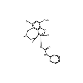 COc1cc(Br)c2c3c1O[C@H]1C[C@@H](OC(=O)Nc4ccccc4)C(C)[C@@]31CCN(C)C2